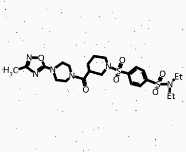 CCN(CC)S(=O)(=O)c1ccc(S(=O)(=O)N2CCCC(C(=O)N3CCN(c4nc(C)no4)CC3)C2)cc1